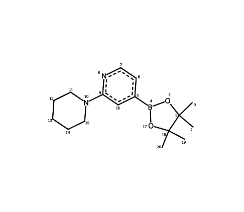 CC1(C)OB(c2ccnc(N3CCCCC3)c2)OC1(C)C